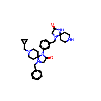 O=C1CN(Cc2cccc(N3C(=O)CN(Cc4ccccc4)C34CCN(CC3CC3)CC4)c2)C2(CCNCC2)N1